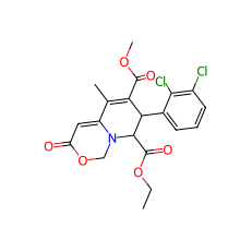 CCOC(=O)C1C(c2cccc(Cl)c2Cl)C(C(=O)OC)=C(C)C2=CC(=O)OCN21